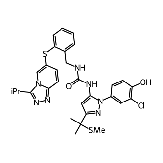 CSC(C)(C)c1cc(NC(=O)NCc2ccccc2Sc2ccc3nnc(C(C)C)n3c2)n(-c2ccc(O)c(Cl)c2)n1